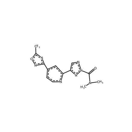 CN(C)C(=O)n1ncc(-c2cc(-c3noc(C(F)(F)F)n3)ccn2)n1